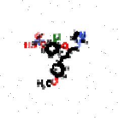 COc1ccc(CCC(Cn2ccnc2)Oc2ccccc2Cl)cc1.O=[N+]([O-])O